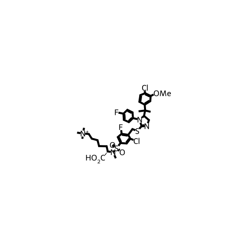 COc1cc(C(C)(C)C2CN=C(SCc3c(F)cc(S(=O)(=O)N(C)[C@@H](CCCCC[N+](C)(C)C)C(=O)O)cc3Cl)N2c2ccc(F)cc2)ccc1Cl